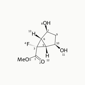 COC(=O)[C@]1(F)[C@@H]2[C@H]1[C@@H](O)C[C@H]2O